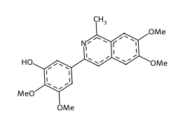 COc1cc2cc(-c3cc(O)c(OC)c(OC)c3)nc(C)c2cc1OC